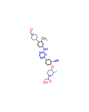 Cc1cc(Nc2ncnc(-c3ccc(OC4CCN(C(=O)CO)CC4F)c(C#N)c3)n2)ccc1C1CCN(C=O)CC1